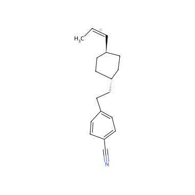 C/C=C\[C@H]1CC[C@H](CCc2ccc(C#N)cc2)CC1